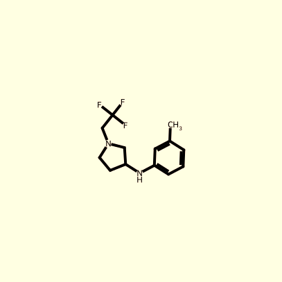 Cc1cccc(NC2CCN(CC(F)(F)F)C2)c1